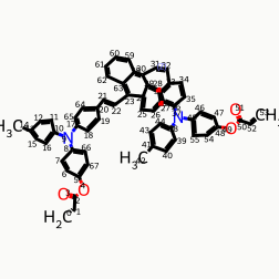 C=CC(=O)Oc1ccc(N(c2ccc(C)cc2)c2ccc(C=Cc3c4ccccc4c(/C=C\c4ccc(N(c5ccc(C)cc5)c5ccc(OC(=O)C=C)cc5)cc4)c4ccccc34)cc2)cc1